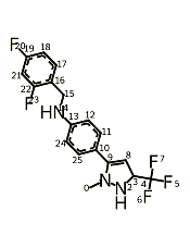 CN1NC(C(F)(F)F)C=C1c1ccc(NCc2ccc(F)cc2F)cc1